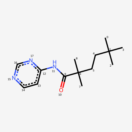 CC(C)(C)CCC(C)(C)C(=O)Nc1ccncn1